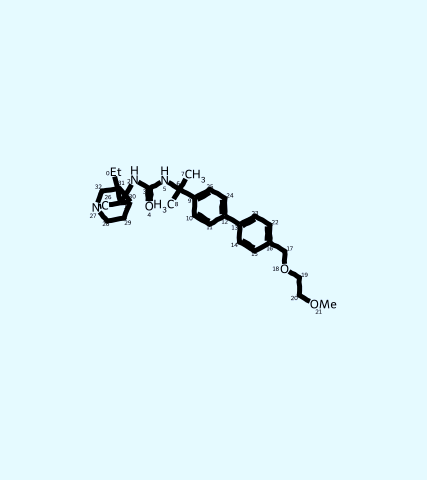 CCC1(NC(=O)NC(C)(C)c2ccc(-c3ccc(COCCOC)cc3)cc2)CN2CCC1CC2